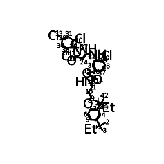 CCC(C)(C)c1ccc(OCCCNS(=O)(=O)c2ccc(Cl)c(Nc3cc(=O)n(-c4c(Cl)cc(Cl)cc4Cl)[nH]3)c2)c(C(C)(C)CC)c1